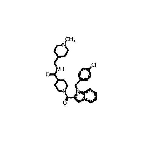 CN1CCC(CNC(=O)C2CCN(C(=O)c3cc4ccccc4n3Cc3ccc(Cl)cc3)CC2)CC1